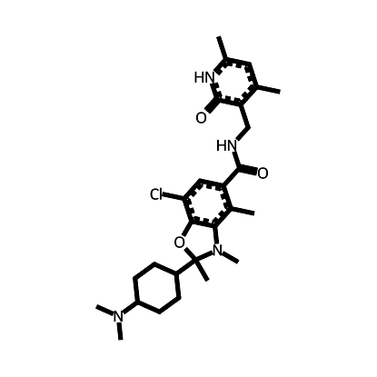 Cc1cc(C)c(CNC(=O)c2cc(Cl)c3c(c2C)N(C)C(C)(C2CCC(N(C)C)CC2)O3)c(=O)[nH]1